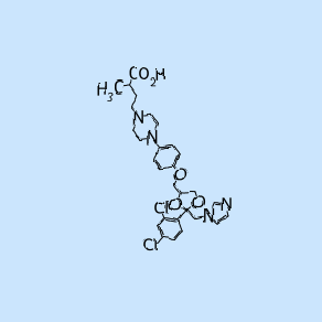 CC(CCN1CCN(c2ccc(OCC3COC(Cn4ccnc4)(c4ccc(Cl)cc4Cl)O3)cc2)CC1)C(=O)O